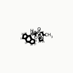 CC(CS(=O)(=O)NC(=O)Nc1c2c(cc3c1CCC3)CCC2)N1CCC1